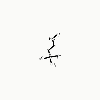 CCC[PH](C)(CCC)CCNCC